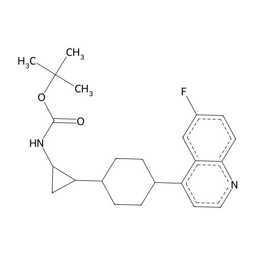 CC(C)(C)OC(=O)NC1CC1C1CCC(c2ccnc3ccc(F)cc23)CC1